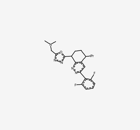 CC(C)C1CCC(c2nnc(CN(C)C)o2)c2nnc(-c3c(F)cccc3F)cc21